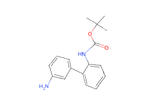 CC(C)(C)OC(=O)Nc1ccccc1-c1cccc(N)c1